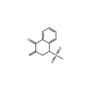 C=C1CC(S(C)(=O)=O)c2ccccc2C1=O